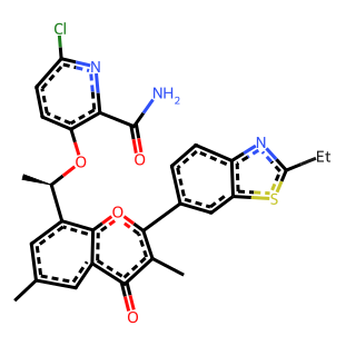 CCc1nc2ccc(-c3oc4c([C@@H](C)Oc5ccc(Cl)nc5C(N)=O)cc(C)cc4c(=O)c3C)cc2s1